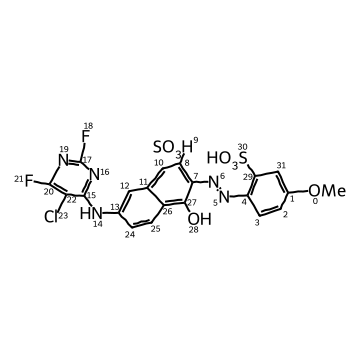 COc1ccc(N=Nc2c(S(=O)(=O)O)cc3cc(Nc4nc(F)nc(F)c4Cl)ccc3c2O)c(S(=O)(=O)O)c1